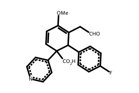 COC1=C(CC=O)C(c2ccc(F)cc2)C(C(=O)O)(c2ccncc2)C=C1